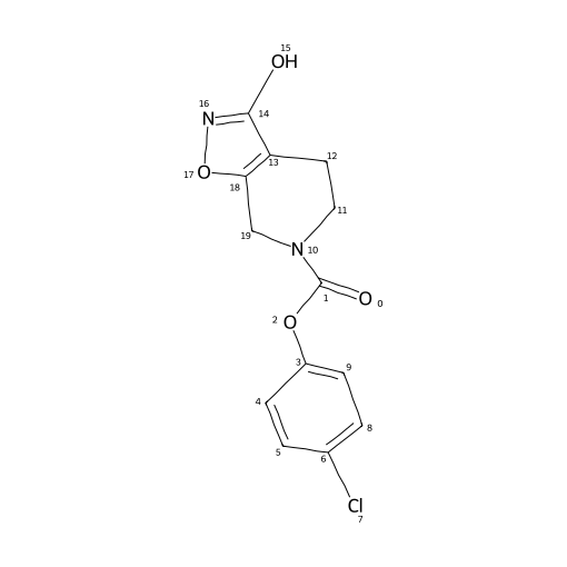 O=C(Oc1ccc(Cl)cc1)N1CCc2c(O)noc2C1